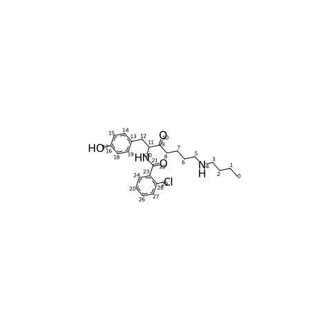 CCCCNCCCCC(=O)C(Cc1ccc(O)cc1)NC(=O)c1ccccc1Cl